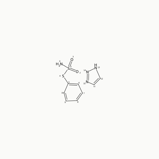 NS(=O)(=O)Sc1ccccc1.c1c[nH]nn1